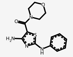 Nc1nc(Nc2ccccc2)sc1C(=O)N1CCOCC1